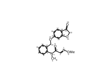 CON=CC(=O)N(C)c1ccccc1COc1ccc2c(c1)OCC2=O